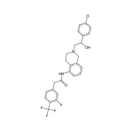 O=C(Cc1ccc(C(F)(F)F)c(F)c1)Nc1cccc2c1CCN(CC(O)c1ccc(Cl)cc1)C2